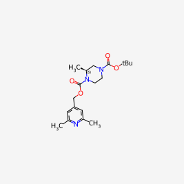 Cc1cc(COC(=O)N2CCN(C(=O)OC(C)(C)C)C[C@@H]2C)cc(C)n1